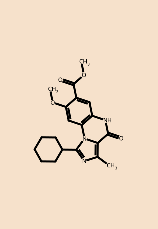 COC(=O)c1cc2[nH]c(=O)c3c(C)nc(C4CCCCC4)n3c2cc1OC